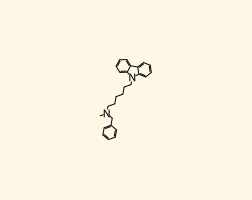 CN(CCCCCCn1c2ccccc2c2ccccc21)Cc1ccccc1